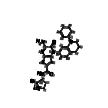 Nc1nc2sc(C(=O)N[C@@H]3CCNC3=O)cc2n(-c2ccc3c(c2)N(c2ccccc2)CCC3)c1=O